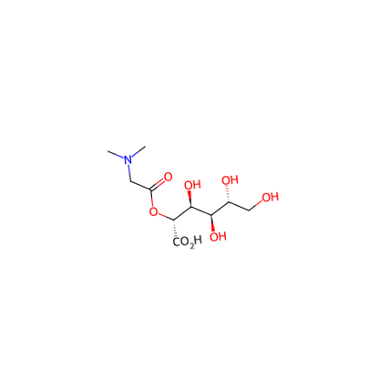 CN(C)CC(=O)O[C@@H](C(=O)O)[C@@H](O)[C@H](O)[C@H](O)CO